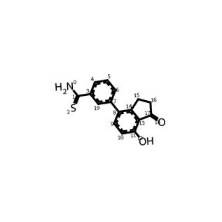 NC(=S)c1cccc(-c2ccc(O)c3c2CCC3=O)c1